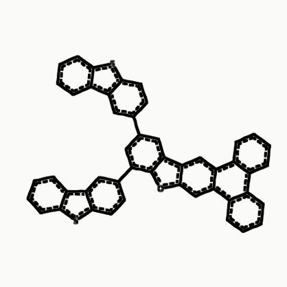 c1ccc2c(c1)sc1ccc(-c3cc(-c4ccc5sc6ccccc6c5c4)c4oc5cc6c7ccccc7c7ccccc7c6cc5c4c3)cc12